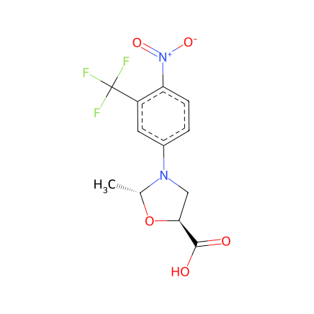 C[C@H]1O[C@H](C(=O)O)CN1c1ccc([N+](=O)[O-])c(C(F)(F)F)c1